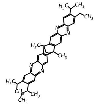 CCc1cc2nc3cc4c(cc3nc2cc1C(C)C)C1(C)CCC4(C)c2cc3nc4cc(C(C)CC)c(C(C)C)cc4nc3cc21